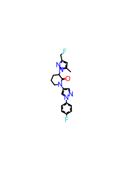 Cc1cc(CF)nn1C1CCCN(c2cnn(-c3ccc(F)cc3)c2)C1=O